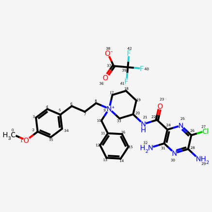 COc1ccc(CCC[N+]2(Cc3ccccc3)CCCC(NC(=O)c3nc(Cl)c(N)nc3N)C2)cc1.O=C([O-])C(F)(F)F